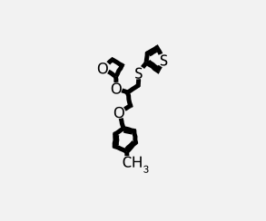 Cc1ccc(OCC(CSc2ccsc2)OC2CCO2)cc1